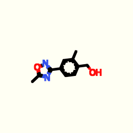 Cc1nc(-c2ccc(CO)c(C)c2)no1